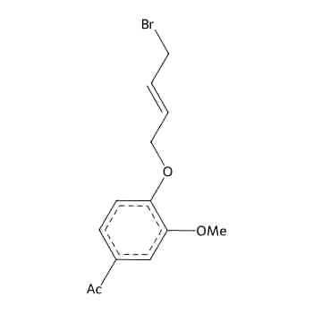 COc1cc(C(C)=O)ccc1OCC=CCBr